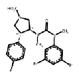 CN(C(=O)N(C)[C@@H]1CN(C(=O)O)C[C@H]1c1ccc(F)cc1)c1cc(Br)cc(Br)c1